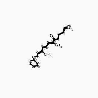 C=CCCCC(=O)/C(C)=C/CC/C(C)=C/COC1CCCCO1